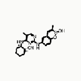 CC1=Cc2cc(Nc3ncc(C)c(N[C@@H]4CCCC[C@H]4C#N)n3)ccc2OB1O